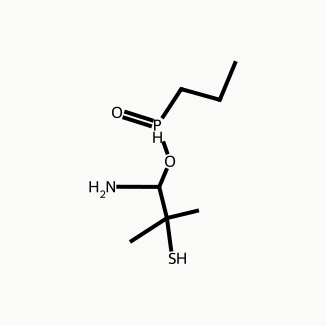 CCC[PH](=O)OC(N)C(C)(C)S